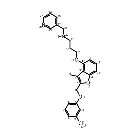 Cc1c(COc2cccc(C(F)(F)F)c2)oc2cccc(OCCCNCc3cccnc3)c12